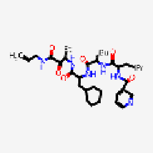 C=CCNC(=O)C(=O)C(CC)NC(=O)C(CC1CCCCC1)NC(=O)C(NC(=O)C(CC(C)C)NC(=O)c1cccnc1)C(C)CC